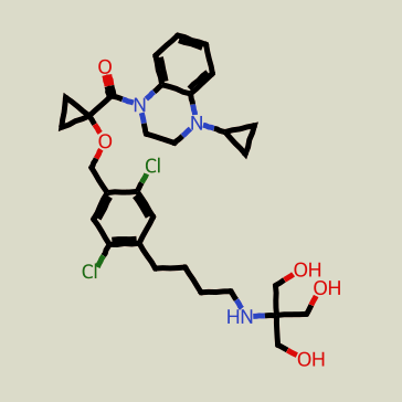 O=C(N1CCN(C2CC2)c2ccccc21)C1(OCc2cc(Cl)c(CCCCNC(CO)(CO)CO)cc2Cl)CC1